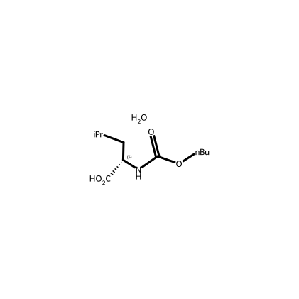 CCCCOC(=O)N[C@@H](CC(C)C)C(=O)O.O